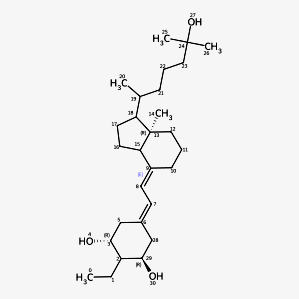 CCC1[C@H](O)CC(=C/C=C2\CCC[C@@]3(C)C2CCC3C(C)CCCC(C)(C)O)C[C@H]1O